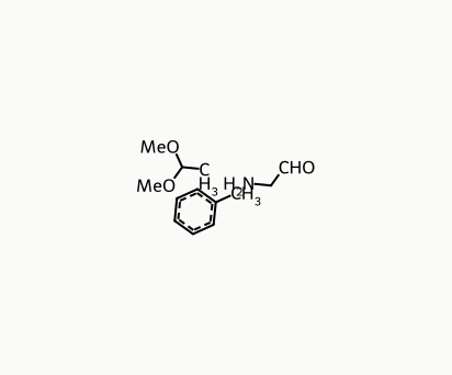 COC(C)OC.Cc1ccccc1.NCC=O